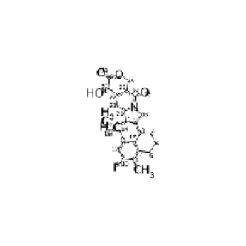 C=C1/C(=C2/CCCc3c(C)c(F)cc(CCC)c32)Cn2c1cc1c(c2=O)COC(=O)C1O